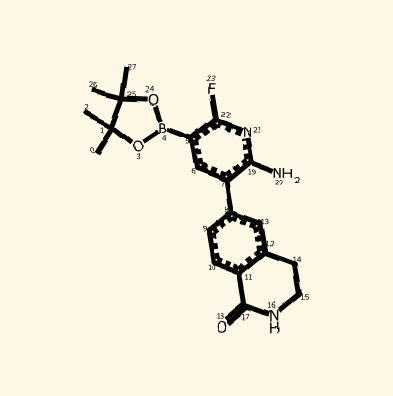 CC1(C)OB(c2cc(-c3ccc4c(c3)CCNC4=O)c(N)nc2F)OC1(C)C